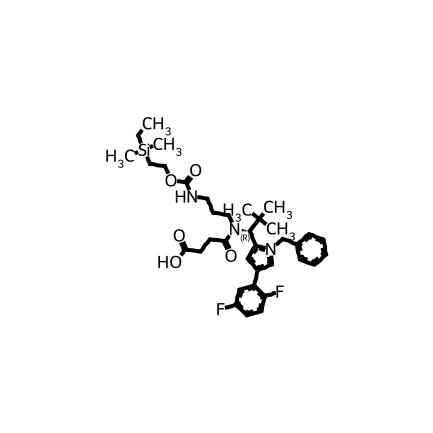 CC[Si](C)(C)CCOC(=O)NCCCN(C(=O)CCC(=O)O)[C@@H](c1cc(-c2cc(F)ccc2F)cn1Cc1ccccc1)C(C)(C)C